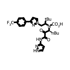 CCCC[C@@H](C(=O)C(=O)Nc1cc[nH]n1)N(C(=O)O)C(Cn1ccc(-c2ccc(C(F)(F)F)cc2)n1)C(C)(C)C